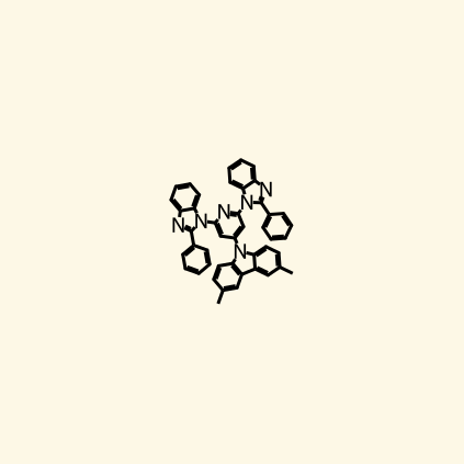 Cc1ccc2c(c1)c1cc(C)ccc1n2-c1cc(-n2c(-c3ccccc3)nc3ccccc32)nc(-n2c(-c3ccccc3)nc3ccccc32)c1